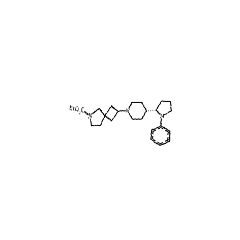 CCOC(=O)N1CCC2(CC(N3CCC([C@@H]4CCCN4c4ccccc4)CC3)C2)C1